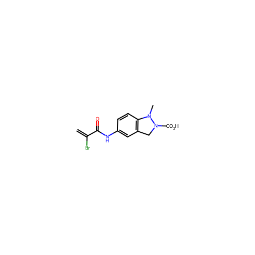 C=C(Br)C(=O)Nc1ccc2c(c1)CN(C(=O)O)N2C